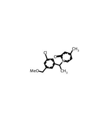 COCc1cc(Cl)cc(C(C)n2ccc(C)cc2=O)c1